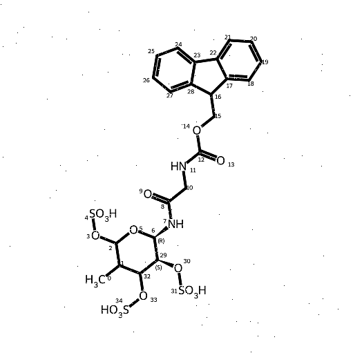 CC1C(OS(=O)(=O)O)O[C@@H](NC(=O)CNC(=O)OCC2c3ccccc3-c3ccccc32)[C@@H](OS(=O)(=O)O)C1OS(=O)(=O)O